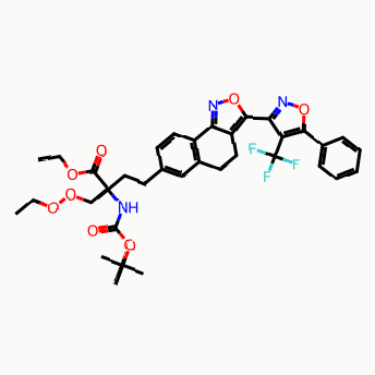 CCOOCC(CCc1ccc2c(c1)CCc1c-2noc1-c1noc(-c2ccccc2)c1C(F)(F)F)(NC(=O)OC(C)(C)C)C(=O)OCC